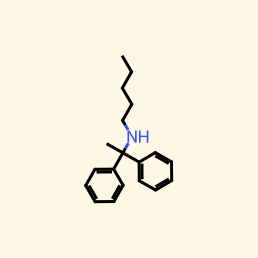 CCCCCNC(C)(c1ccccc1)c1ccccc1